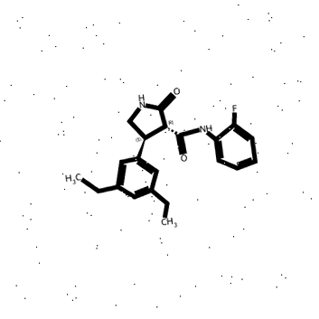 CCc1cc(CC)cc([C@H]2CNC(=O)[C@@H]2C(=O)Nc2ccccc2F)c1